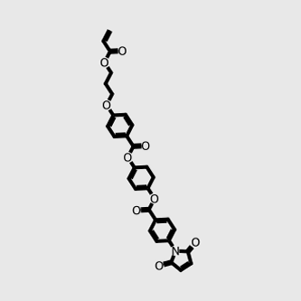 C=CC(=O)OCCCOc1ccc(C(=O)OC2=CC=C(OC(=O)c3ccc(N4C(=O)C=CC4=O)cc3)CC2)cc1